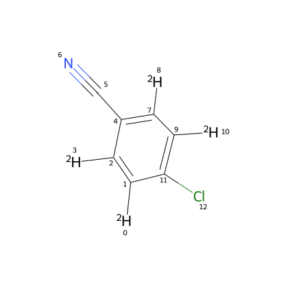 [2H]c1c([2H])c(C#N)c([2H])c([2H])c1Cl